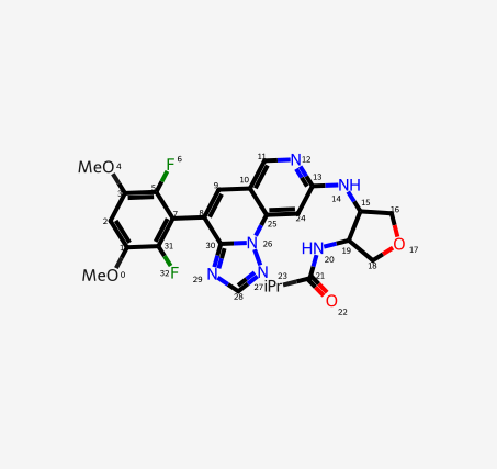 COc1cc(OC)c(F)c(-c2cc3cnc(NC4COCC4NC(=O)C(C)C)cc3n3ncnc23)c1F